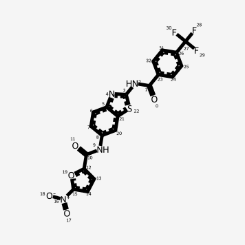 O=C(Nc1nc2ccc(NC(=O)c3ccc([N+](=O)[O-])o3)cc2s1)c1ccc(C(F)(F)F)cc1